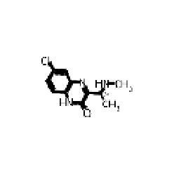 CN[C@@H](C)c1nc2cc(Cl)ccc2[nH]c1=O